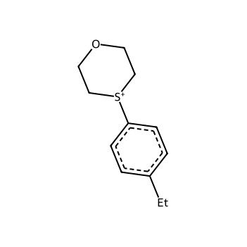 CCc1ccc([S+]2CCOCC2)cc1